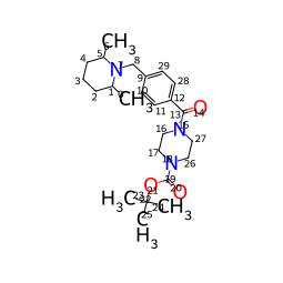 CC1CCCC(C)N1Cc1ccc(C(=O)N2CCN(C(=O)OC(C)(C)C)CC2)cc1